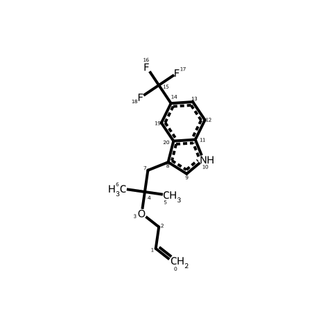 C=CCOC(C)(C)Cc1c[nH]c2ccc(C(F)(F)F)cc12